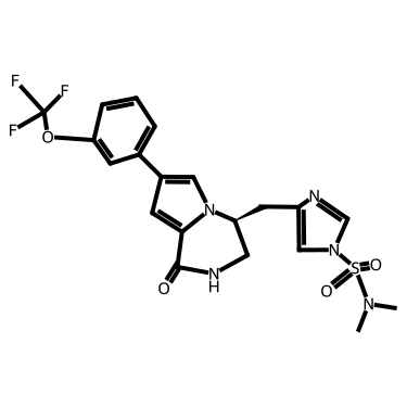 CN(C)S(=O)(=O)n1cnc(C[C@H]2CNC(=O)c3cc(-c4cccc(OC(F)(F)F)c4)cn32)c1